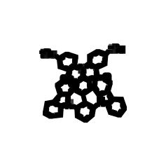 CC(C)(C)c1ccc2c(c1)c(=O)c1cc(-c3c(-n4c5ccccc5c5ccccc54)cccc3-n3c4ccccc4c4ccccc43)cc3c(=O)c4cc(C(C)(C)C)ccc4n2c13